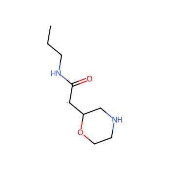 CCCNC(=O)[CH]C1CNCCO1